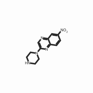 O=[N+]([O-])c1ccc2nc(N3CCNCC3)cnc2c1